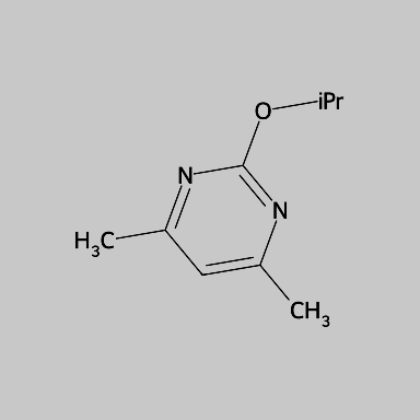 Cc1cc(C)nc(OC(C)C)n1